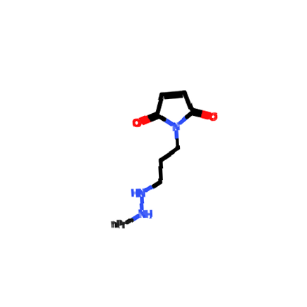 CCCNNCCCN1C(=O)C=CC1=O